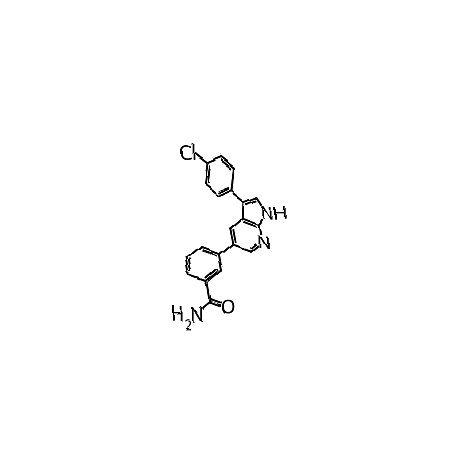 NC(=O)c1cccc(-c2cnc3[nH]cc(-c4ccc(Cl)cc4)c3c2)c1